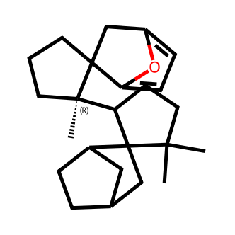 CC1(C)CCC([C@@]2(C)CCCC23Cc2ccc3o2)C12CC1CCC2C1